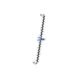 CCCCCCCCCCCCCCCCCCNC(=N)NCCCCCCCCCCCCCCCCCC.Cl